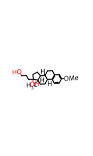 COc1ccc2c(c1)CC[C@@H]1[C@@H]2CC[C@@]2(C)[C@H]1CC[C@@]2(O)CCCO